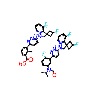 CC(C)N(C=O)c1ccc(F)c(-c2ccc(NCC3(c4ncccc4F)CC(F)C3)nn2)c1.Cc1c(C(=O)O)cccc1-c1ccc(NCC2(c3ncccc3F)CC(F)C2)nn1